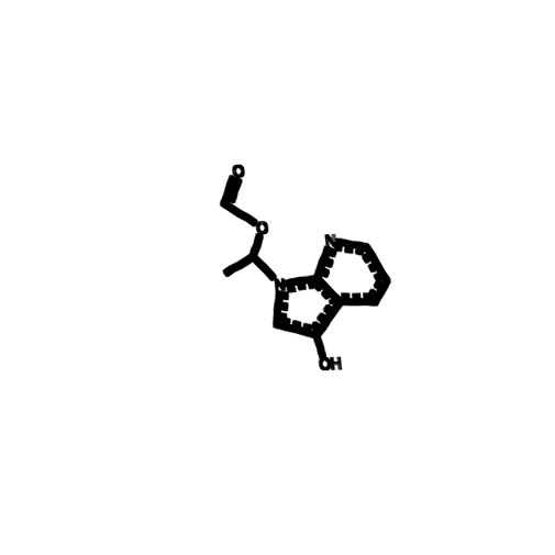 CC(OC=O)n1cc(O)c2cccnc21